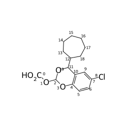 O=C(O)OC1Oc2ccc(Cl)cc2C(C2CCCCCC2)O1